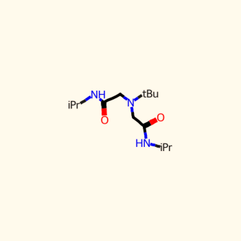 CC(C)NC(=O)CN(CC(=O)NC(C)C)C(C)(C)C